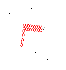 O=O.O=O.O=O.O=O.O=O.O=O.O=O.O=O.O=O.O=O.O=O.O=O.[V]